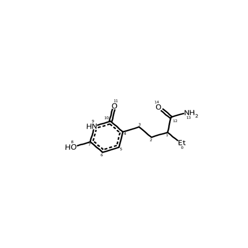 CCC(CCc1ccc(O)[nH]c1=O)C(N)=O